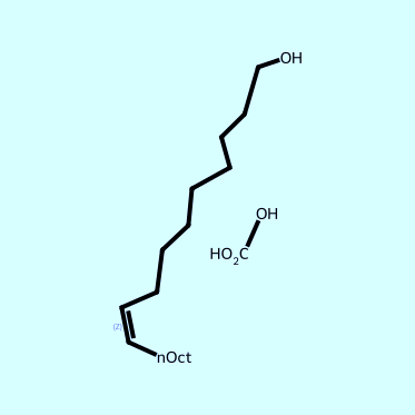 CCCCCCCC/C=C\CCCCCCCCO.O=C(O)O